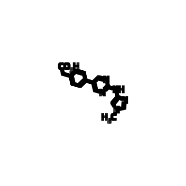 Cn1cnc(Nc2ncc(-c3ccc(CC(=O)O)cc3)cn2)c1